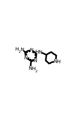 Nc1nc(N)nc(NC2CCNCC2)n1